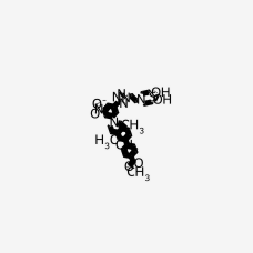 COC(=O)c1ccc(C2=CCC3(C)CN(c4cc(-c5nnn(CCN6CCS(O)(O)CC6)n5)cc([N+](=O)[O-])c4)CC=C3C2(C)C)cc1